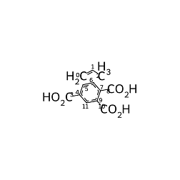 C=CC.O=C(O)c1ccc(C(=O)O)c(C(=O)O)c1